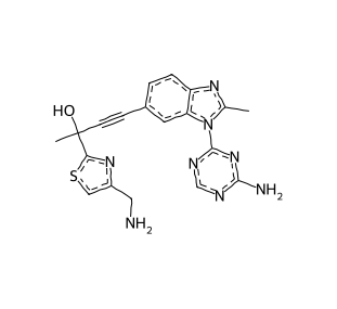 Cc1nc2ccc(C#CC(C)(O)c3nc(CN)cs3)cc2n1-c1ncnc(N)n1